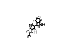 C=CC(=O)Nc1cncc(-c2n[nH]c3ccccc23)c1